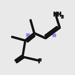 C=C(F)/C(C)=C(C)\C=C/N